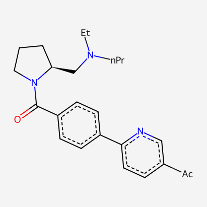 CCCN(CC)C[C@@H]1CCCN1C(=O)c1ccc(-c2ccc(C(C)=O)cn2)cc1